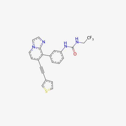 O=C(NCC(F)(F)F)Nc1cccc(-c2c(C#Cc3ccsc3)ccn3ccnc23)c1